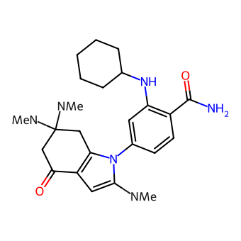 CNc1cc2c(n1-c1ccc(C(N)=O)c(NC3CCCCC3)c1)CC(NC)(NC)CC2=O